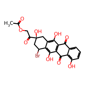 CC(=O)OCC(=O)[C@]1(O)Cc2c(O)c3c(c(O)c2C(Br)C1)C(=O)c1c(O)cccc1C3=O